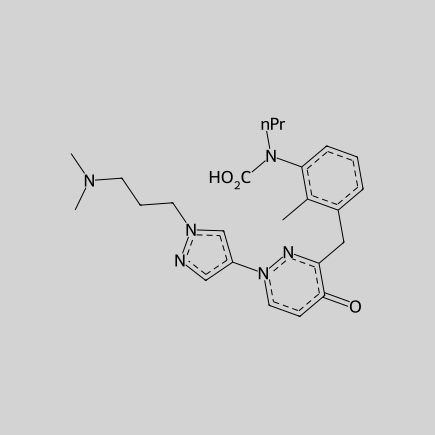 CCCN(C(=O)O)c1cccc(Cc2nn(-c3cnn(CCCN(C)C)c3)ccc2=O)c1C